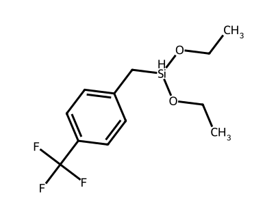 CCO[SiH](Cc1ccc(C(F)(F)F)cc1)OCC